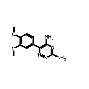 COc1ccc(-c2nnc(N)nc2N)cc1OC